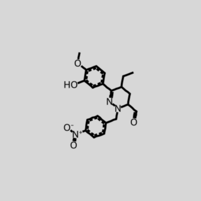 CCC1CC(C=O)N(Cc2ccc([N+](=O)[O-])cc2)N=C1c1ccc(OC)c(O)c1